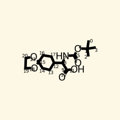 CC(C)(C)OC(=O)NC(C(=O)O)C1CCC2(CC1)OCCO2